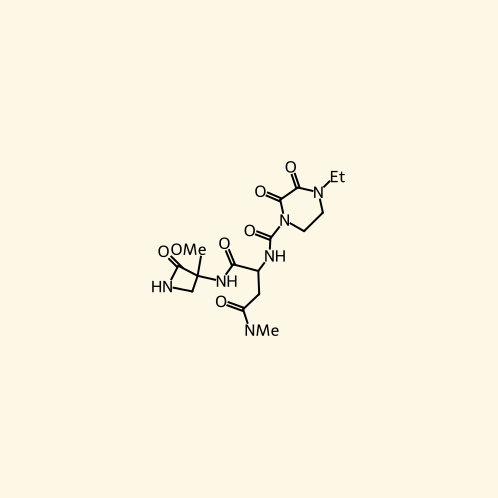 CCN1CCN(C(=O)NC(CC(=O)NC)C(=O)NC2(OC)CNC2=O)C(=O)C1=O